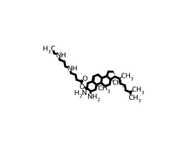 CCNCCCNCCCC(=O)OC1(N)CC2=CCC3C(CC[C@@]4(C)C3CC[C@@H]4[C@H](C)CCCC(C)C)[C@@]2(C)CC1N